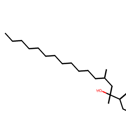 CCCCCCCCCCCCC(C)CC(C)(O)C1CCCCC1